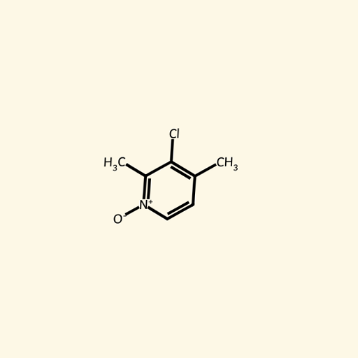 Cc1cc[n+]([O-])c(C)c1Cl